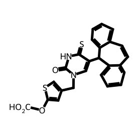 O=C(O)Oc1cc(Cn2cc(C3c4ccccc4C=Cc4ccccc43)c(=S)[nH]c2=O)cs1